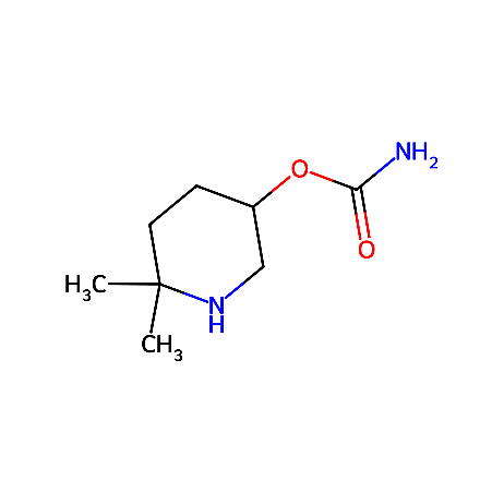 CC1(C)CCC(OC(N)=O)CN1